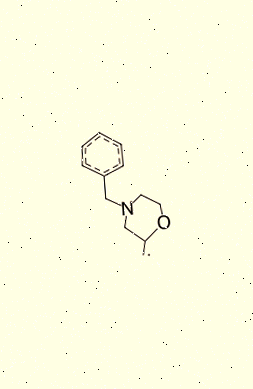 [CH2]C1CN(Cc2ccccc2)CCO1